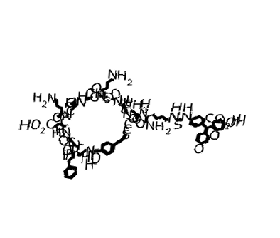 CC(C)C[C@H]1CN(C(=O)CCc2ccccc2)CC(=O)N[C@@H](CCC(=O)O)CN(C(=O)CCCN)CC(=O)N[C@@H](C)CN(C(=O)CCCN)CC(=O)N[C@@H](C)CN(CC(=O)N[C@@H](CCCCNC(=S)Nc2ccc(-c3c4ccc(=O)cc-4oc4cc(O)ccc34)c(C(=O)O)c2)C(N)=O)C(=O)CCSCc2ccc(cc2)C(=O)N1